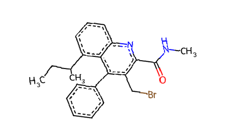 CCC(C)c1cccc2nc(C(=O)NC)c(CBr)c(-c3ccccc3)c12